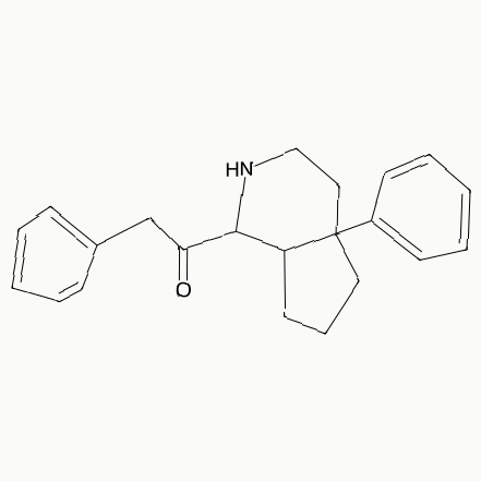 O=C(Cc1ccccc1)C1NCCC2(c3ccccc3)CCCC12